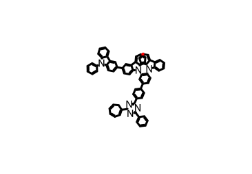 C1=CC=C(c2nc(-c3ccccc3)nc(-c3ccc(-c4ccc(-n5c6ccccc6c6ccccc65)c(-n5c6ccccc6c6cc(-c7ccc8c(c7)c7ccccc7n8-c7ccccc7)ccc65)c4)cc3)n2)CC=C1